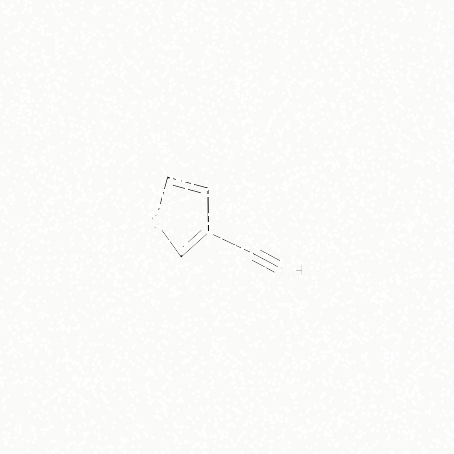 C#Cc1c[c]sc1